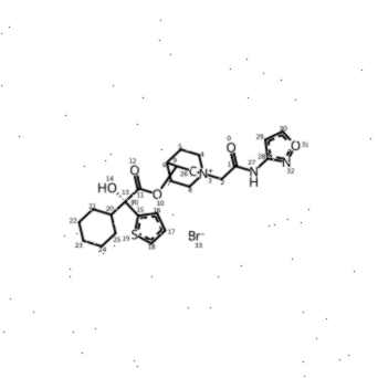 O=C(C[N+]12CCC(CC1)C(OC(=O)[C@@](O)(c1cccs1)C1CCCCC1)C2)Nc1ccon1.[Br-]